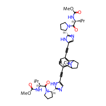 COC(=O)N[C@H](C(=O)N1CCC[C@H]1c1ncc(C#Cc2ccc(C#Cc3cnc([C@@H]4CCCN4C(=O)[C@@H](NC(=O)OC)C(C)C)[nH]3)c3c2C2CCC3N2C)[nH]1)C(C)C